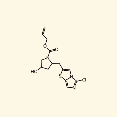 C=CCOC(=O)N1CC(O)CC1Cc1cn2c(Cl)ncc2s1